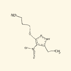 CCc1[nH]nc(OCCCO)c1[N+](=O)[O-]